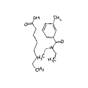 CCCCCCCC(=O)O.CCN(CC)C(=O)c1cccc(C)c1